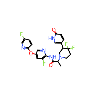 CC(C(=O)Nc1ncc(Oc2ccc(F)cn2)cc1F)N1CCC(F)(F)C(c2ccc(=O)[nH]c2)C1